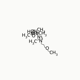 CCOCCCN1C=CN(C(O[SiH](C)C)C(C)(C)C)C1C